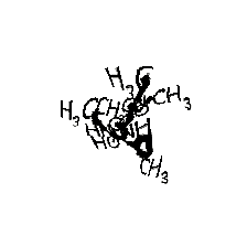 CCCN(CCC)S(=O)(=O)CCC(=O)N[C@@H](Cc1cccc(C)c1)[C@@H](O)CNCCC(C)C